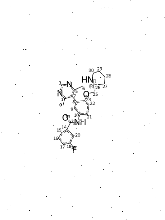 Cc1ncnc(C)c1-c1cc(NC(=O)c2cccc(F)c2)ccc1OC[C@H]1CCCCN1